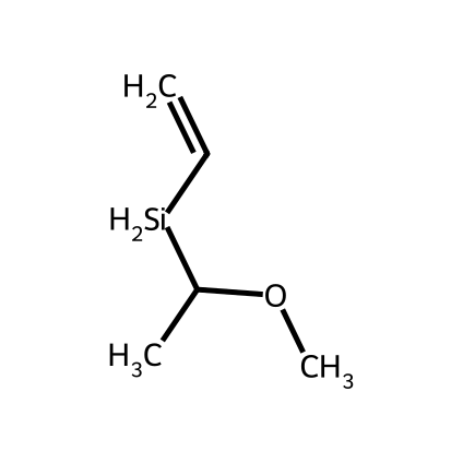 C=C[SiH2]C(C)OC